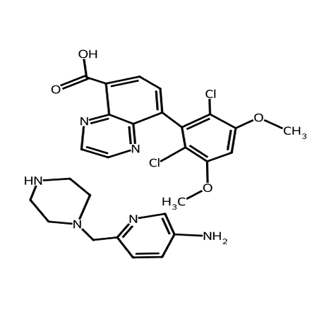 COc1cc(OC)c(Cl)c(-c2ccc(C(=O)O)c3nccnc23)c1Cl.Nc1ccc(CN2CCNCC2)nc1